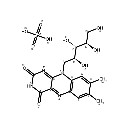 Cc1cc2nc3c(=O)[nH]c(=O)nc-3n(C[C@H](O)[C@H](O)[C@H](O)CO)c2cc1C.O=S(=O)(O)O